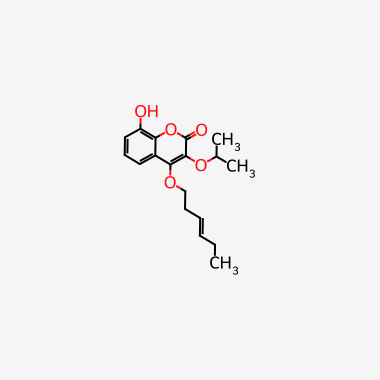 CC/C=C/CCOc1c(OC(C)C)c(=O)oc2c(O)cccc12